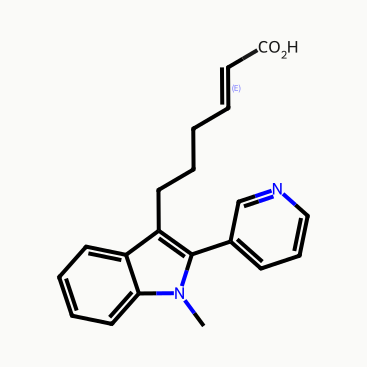 Cn1c(-c2cccnc2)c(CCC/C=C/C(=O)O)c2ccccc21